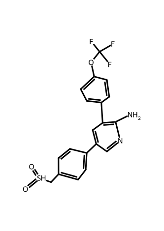 Nc1ncc(-c2ccc(C[SH](=O)=O)cc2)cc1-c1ccc(OC(F)(F)F)cc1